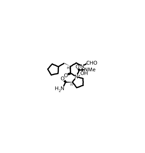 CNC(=O)[N+]1(C(=O)[C@H](CC2CCCC2)CN(O)C=O)CCC[C@H]1C(N)=O